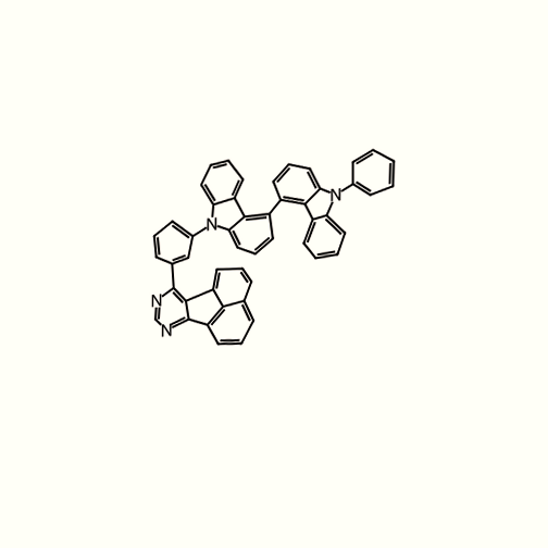 c1ccc(-n2c3ccccc3c3c(-c4cccc5c4c4ccccc4n5-c4cccc(-c5ncnc6c5-c5cccc7cccc-6c57)c4)cccc32)cc1